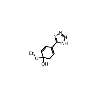 CCOC1(O)C=CC(c2nnn[nH]2)=CC1